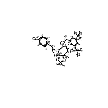 C[C@@H](O[C@H]1OC[C@@H]2OC(C)(C)O[C@@H]2[C@H]1OCc1ccc(F)cc1)c1cc(C(F)(F)F)cc(C(F)(F)F)c1